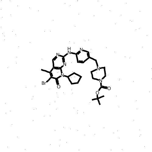 Cc1c(Br)c(=O)n(C2CCCC2)c2nc(Nc3ccc(CN4CCN(C(=O)OC(C)(C)C)CC4)cn3)ncc12